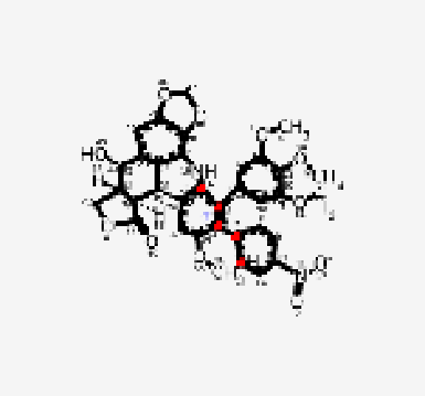 COc1cc(/C(=C\c2ccc([N+](=O)[O-])cc2)C(=O)Nc2c3c(cc4c2[C@@H](c2cc(OC)c(OC)c(OC)c2)[C@H]2C(=O)OC[C@@H]2[C@H]4O)OCO3)cc(OC)c1OC